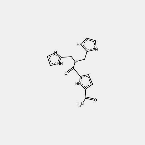 NC(=O)c1ccc(C(=O)N(Cc2ncc[nH]2)Cc2ncc[nH]2)[nH]1